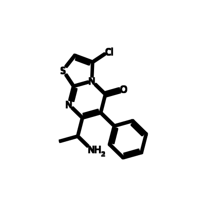 CC(N)c1nc2scc(Cl)n2c(=O)c1-c1ccccc1